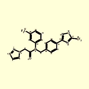 O=C(Cn1ccnn1)N(Cc1ccc(-c2noc(C(F)(F)F)n2)cc1)c1cccc(C(F)(F)F)c1